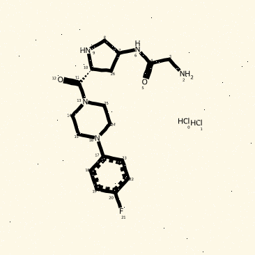 Cl.Cl.NCC(=O)NC1CN[C@@H](C(=O)N2CCN(c3ccc(F)cc3)CC2)C1